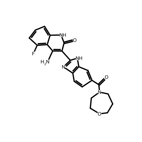 Nc1c(-c2nc3ccc(C(=O)N4CCCOCC4)cc3[nH]2)c(=O)[nH]c2cccc(F)c12